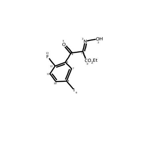 CCOC(=O)/C(=N\O)C(=O)c1cc(I)ccc1F